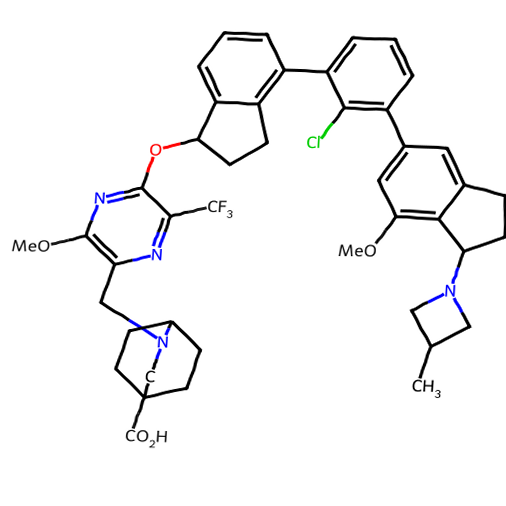 COc1cc(-c2cccc(-c3cccc4c3CCC4Oc3nc(OC)c(CN4CC5(C(=O)O)CCC4CC5)nc3C(F)(F)F)c2Cl)cc2c1C(N1CC(C)C1)CC2